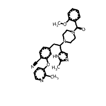 COc1ccccc1C(=O)N1CCN(C(Cc2ccc(C#N)c(Oc3cccnc3C)c2)c2cnc(C)[nH]2)CC1